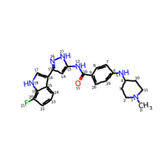 CN1CCC(Nc2ccc(C(=O)Nc3cc(-c4c[nH]c5c(F)cccc45)n[nH]3)cc2)CC1